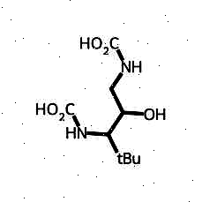 CC(C)(C)C(NC(=O)O)C(O)CNC(=O)O